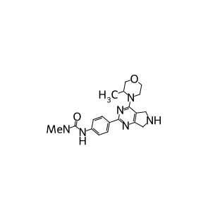 CNC(=O)Nc1ccc(-c2nc3c(c(N4CCOCC4C)n2)CNC3)cc1